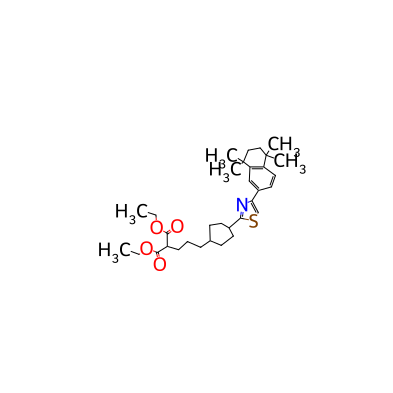 CCOC(=O)C(CCCC1CCC(c2nc(-c3ccc4c(c3)C(C)(C)CCC4(C)C)cs2)CC1)C(=O)OCC